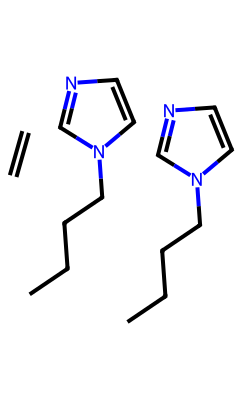 C=C.CCCCn1ccnc1.CCCCn1ccnc1